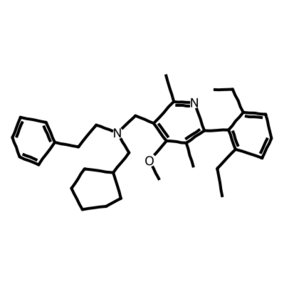 CCc1cccc(CC)c1-c1nc(C)c(CN(CCc2ccccc2)CC2CCCCC2)c(OC)c1C